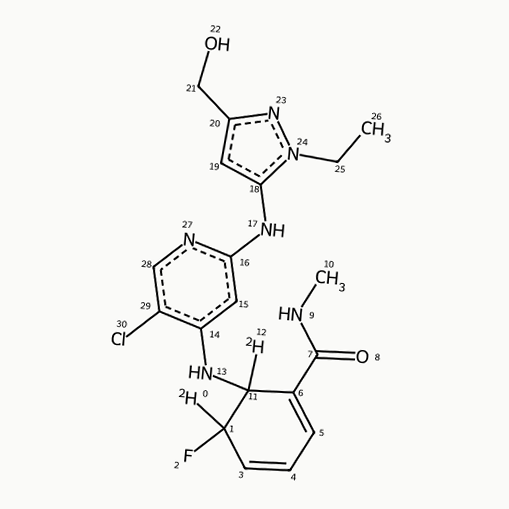 [2H]C1(F)C=CC=C(C(=O)NC)C1([2H])Nc1cc(Nc2cc(CO)nn2CC)ncc1Cl